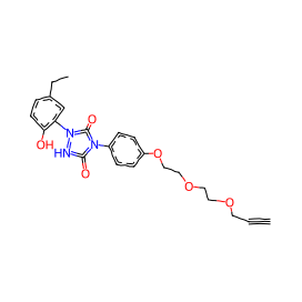 C#CCOCCOCCOc1ccc(-n2c(=O)[nH]n(-c3cc(CC)ccc3O)c2=O)cc1